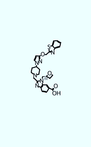 O=C(O)c1ccc2nc(CN3CCC(n4ccc(OCc5nc6ccccc6s5)n4)CC3)n(C[C@@H]3CCO3)c2c1